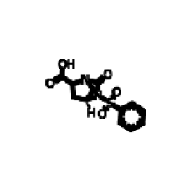 O=C(O)C1C[C@H]2CN1C(=O)N2S(=O)(=O)c1ccccc1